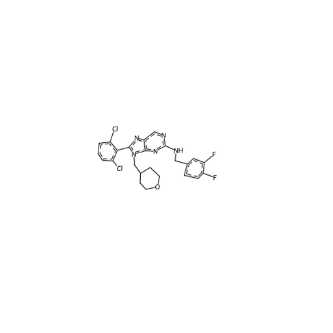 Fc1ccc(CNc2ncc3nc(-c4c(Cl)cccc4Cl)n(CC4CCOCC4)c3n2)cc1F